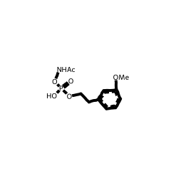 COc1cccc(CCOP(=O)(O)ONC(C)=O)c1